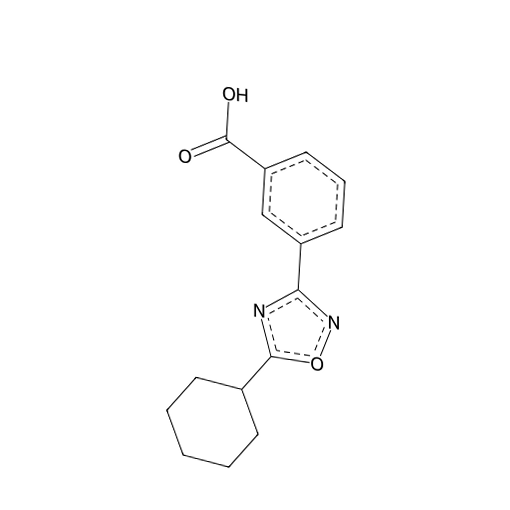 O=C(O)c1cccc(-c2noc(C3CCCCC3)n2)c1